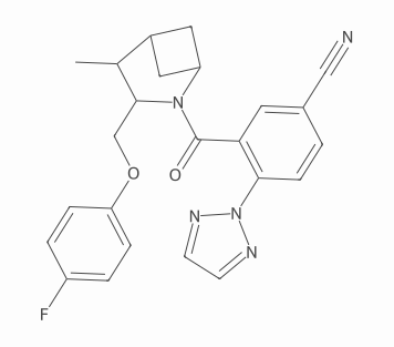 CC1C2CC(C2)N(C(=O)c2cc(C#N)ccc2-n2nccn2)C1COc1ccc(F)cc1